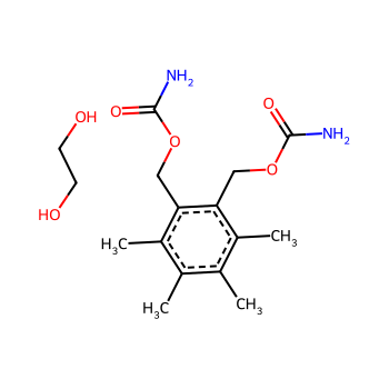 Cc1c(C)c(C)c(COC(N)=O)c(COC(N)=O)c1C.OCCO